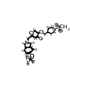 CS(=O)(=O)N1CCC(COc2coc(CN3Cc4ccc(OC(F)(F)F)cc4C3)cc2=O)CC1